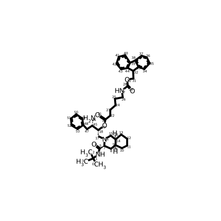 CC(C)(C)NC(=O)[C@@H]1C[C@@H]2CCCC[C@@H]2CN1C[C@@H](OC(=O)CCCCCNC(=O)OCC1c2ccccc2-c2ccccc21)[C@@H](N)Cc1ccccc1